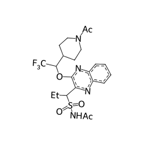 CCC(c1nc2ccccc2nc1OC(C1CCN(C(C)=O)CC1)C(F)(F)F)S(=O)(=O)NC(C)=O